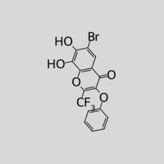 O=c1c(Oc2ccccc2)c(C(F)(F)F)oc2c(O)c(O)c(Br)cc12